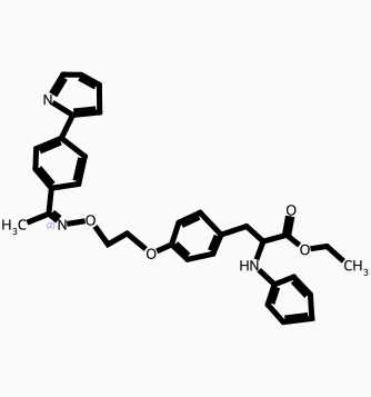 CCOC(=O)C(Cc1ccc(OCCO/N=C(/C)c2ccc(-c3ccccn3)cc2)cc1)Nc1ccccc1